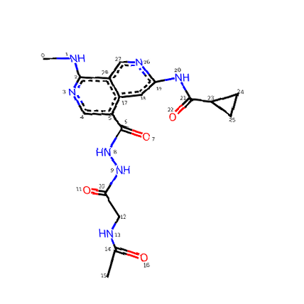 CNc1ncc(C(=O)NNC(=O)CNC(C)=O)c2cc(NC(=O)C3CC3)ncc12